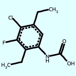 CCc1cc(NC(=O)O)c(CC)c(F)c1Cl